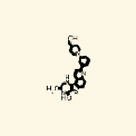 CC1CNc2c(sc3ccc4nc(-c5cccc(N6CCC(CO)CC6)c5)ccc4c23)C(=O)N1